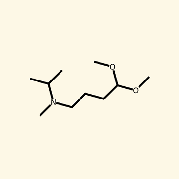 COC(CCCN(C)C(C)C)OC